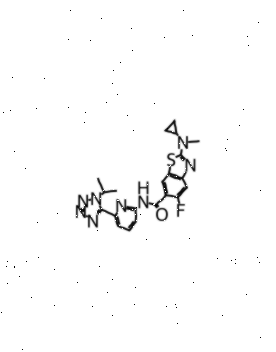 CC(C)n1nnnc1-c1cccc(NC(=O)c2cc3sc(N(C)C4CC4)nc3cc2F)n1